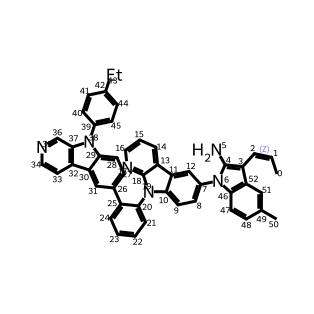 C/C=C\c1c(N)n(-c2ccc3c(c2)c2cccnc2n3-c2ccccc2-c2ccc3c(c2)c2ccncc2n3-c2ccc(CC)cc2)c2ccc(C)cc12